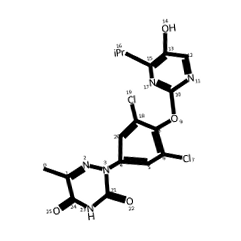 Cc1nn(-c2cc(Cl)c(Oc3ncc(O)c(C(C)C)n3)c(Cl)c2)c(=O)[nH]c1=O